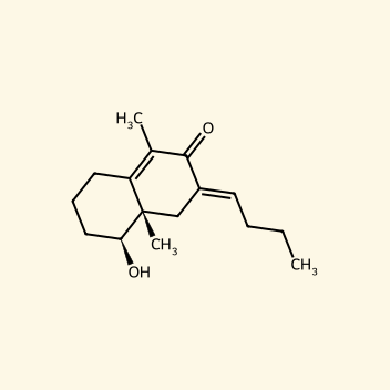 CCCC=C1C[C@@]2(C)C(=C(C)C1=O)CCC[C@@H]2O